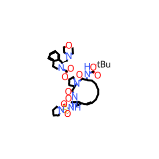 CC(C)(C)OC(=O)NC1CCCCCC=CC2CC2(C(=O)NS(=O)(=O)N2CCCC2)NC(=O)C2CC(OC(=O)N3CCc4ccccc4[C@H]3CN3CCOCC3)CN2C1=O